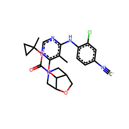 [C-]#[N+]c1ccc(Nc2ncnc(OC3C4COC3CN(C(=O)OC3(C)CC3)C4)c2C)c(Cl)c1